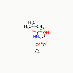 CC(C)(C)OC(=O)N[C@@H](CO)C(=O)OC1CC1